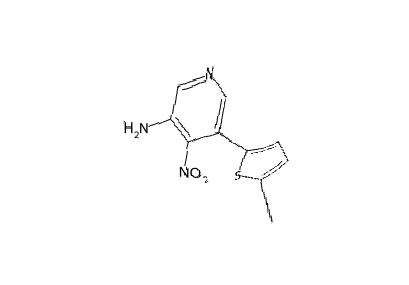 Cc1ccc(-c2cncc(N)c2[N+](=O)[O-])s1